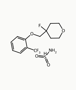 FC1(COc2ccccc2C(F)(F)F)CCOCC1.N[SH](=O)=O